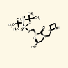 CC(C)(C)OP(=O)(OCOC(=O)N(CC(=O)O)C[C@H]1CCN1)OC(C)(C)C